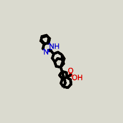 O=C(O)C12CCCC3CC1CC(C14CC5CC(C6=NCc7ccccc7N6)CC(C1)C(C5)C4)(C3)C2